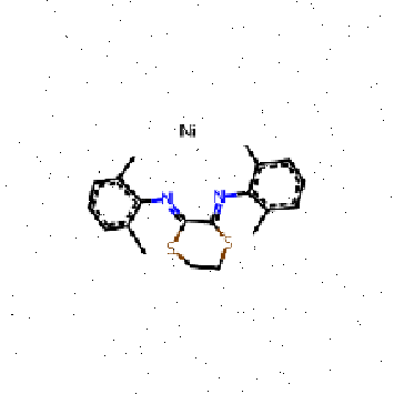 Cc1cccc(C)c1N=C1SCCSC1=Nc1c(C)cccc1C.[Ni]